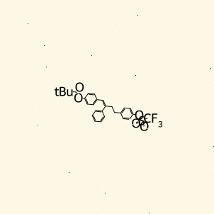 CC(C)(C)C(=O)Oc1ccc(C=C(CCc2ccc(OS(=O)(=O)C(F)(F)F)cc2)c2ccccc2)cc1